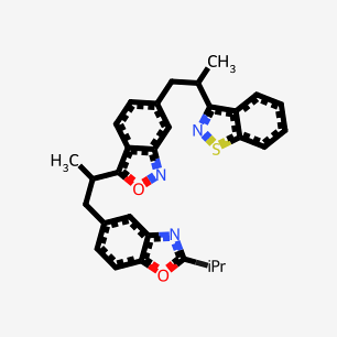 CC(C)c1nc2cc(CC(C)c3onc4cc(CC(C)c5nsc6ccccc56)ccc34)ccc2o1